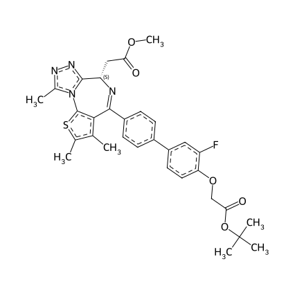 COC(=O)C[C@@H]1N=C(c2ccc(-c3ccc(OCC(=O)OC(C)(C)C)c(F)c3)cc2)c2c(sc(C)c2C)-n2c(C)nnc21